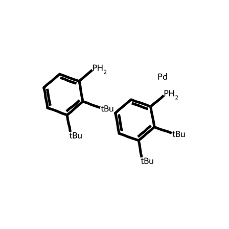 CC(C)(C)c1cccc(P)c1C(C)(C)C.CC(C)(C)c1cccc(P)c1C(C)(C)C.[Pd]